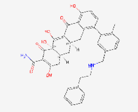 Cc1ccc(CNCCc2ccccc2)cc1-c1ccc(O)c2c1C[C@H]1C[C@H]3CC(O)=C(C(N)=O)C(=O)[C@@]3(O)C(O)=C1C2=O